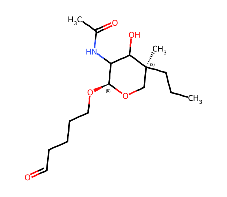 CCC[C@@]1(C)CO[C@@H](OCCCCC=O)C(NC(C)=O)C1O